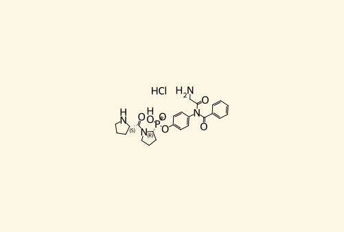 Cl.NCC(=O)N(C(=O)c1ccccc1)c1ccc(OP(=O)(O)[C@@H]2CCCN2C(=O)[C@@H]2CCCN2)cc1